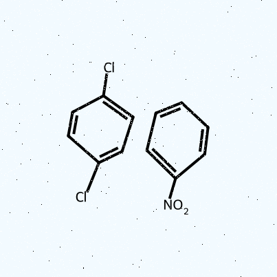 Clc1ccc(Cl)cc1.O=[N+]([O-])c1ccccc1